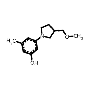 COCC1CCN(c2cc(C)cc(O)c2)C1